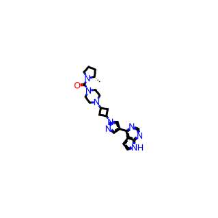 C[C@H]1CCCN1C(=O)N1CCN(C2CC(n3cc(-c4ncnc5[nH]ccc45)cn3)C2)CC1